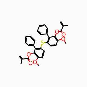 C=C(C)C(=O)Oc1c(OC)ccc(Sc2ccc(OC)c(OC(=O)C(=C)C)c2-c2ccccc2)c1-c1ccccc1